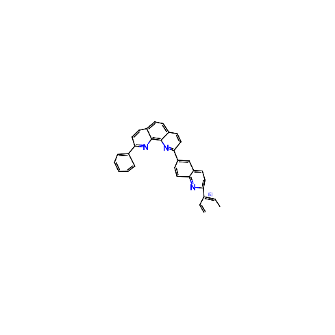 C=C/C(=C\C)c1ccc2cc(-c3ccc4ccc5ccc(-c6ccccc6)nc5c4n3)ccc2n1